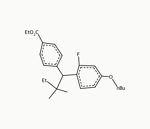 CCCCOc1ccc(C(c2ccc(C(=O)OCC)cc2)C(C)(C)CC)c(F)c1